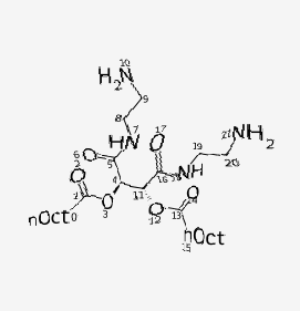 CCCCCCCCC(=O)O[C@@H](C(=O)NCCN)[C@@H](OC(=O)CCCCCCCC)C(=O)NCCN